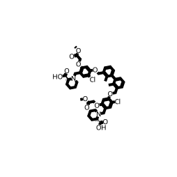 COC(=O)COc1cc(OCc2cccc(-c3cccc(COc4cc(OCC(=O)OC)c(CN5CCCC[C@H]5C(=O)O)cc4Cl)c3C)c2C)c(Cl)cc1CN1CCCC[C@H]1C(=O)O